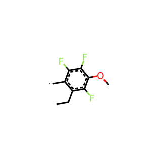 [CH2]c1c(F)c(F)c(OC)c(F)c1CC